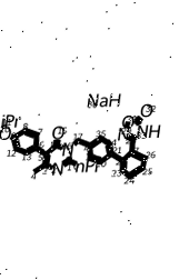 CCCc1nc(C)c(-c2ccc(OC(C)C)cc2)c(=O)n1Cc1ccc(-c2ccccc2-c2noc(=O)[nH]2)cc1.[NaH]